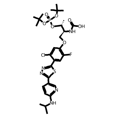 CC(C)Nc1ccc(-c2nnc(-c3cc(F)c(OC[C@H](NC(=O)O)[C@@H](C)OP(=O)(OC(C)(C)C)OC(C)(C)C)cc3Cl)s2)cn1